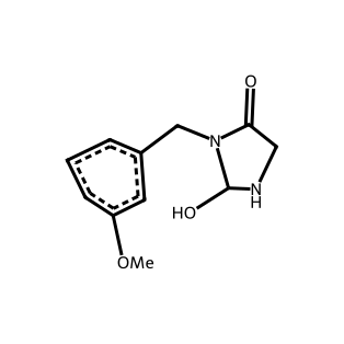 COc1cccc(CN2C(=O)CNC2O)c1